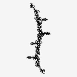 C=CC(=O)OCCCCOC(=O)C1CCC(C(=O)Oc2ccc(OC(=O)C3CCC(C(=O)Oc4ccc(OC(=O)C5CCC(C(=O)Oc6ccc(OC(=O)C7CCC(C(=O)Oc8ccc(OC(=O)C9CCC(C(=O)OCCCCOC(=O)C=C)CC9)c(C(=O)OCCOCC)c8)CC7)cc6C(=O)OCCOCC)CC5)c(C(=O)OCCOC)c4)CC3)cc2C(=O)OCCOCC)CC1